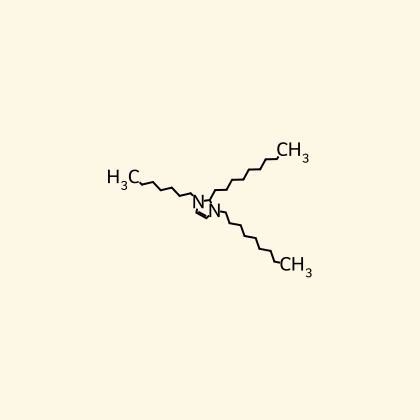 CCCCCCCCCC1N(CCCCCCC)C=CN1CCCCCCCCC